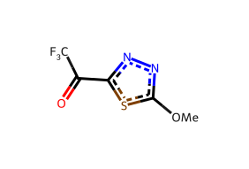 COc1nnc(C(=O)C(F)(F)F)s1